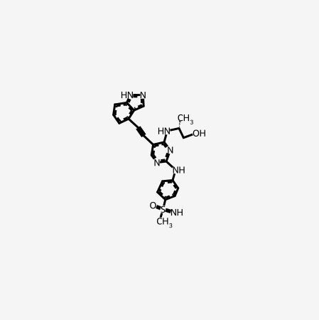 C[C@H](CO)Nc1nc(Nc2ccc(S(C)(=N)=O)cc2)ncc1C#Cc1cccc2[nH]ncc12